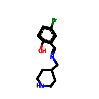 Oc1ccc(Br)cc1/C=N/CC1CCNCC1